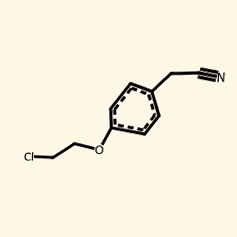 N#CCc1ccc(OCCCl)cc1